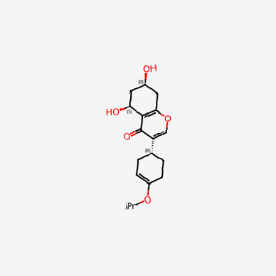 CC(C)OC1=CC[C@H](c2coc3c(c2=O)[C@@H](O)C[C@@H](O)C3)CC1